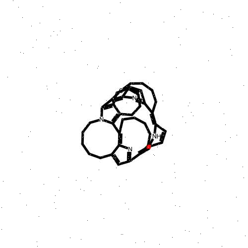 C1=Cc2nc1c1c3ccc([nH]3)c3c4nc5c(c6c7c(c(c2CCCCC1)n6CCCCCC5=C4)CCCCC7)CCCCC3